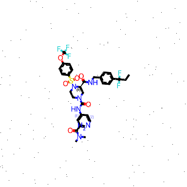 C=C(/C=C(\C=C/N)NC(=O)N1CCN(S(=O)(=O)c2ccc(OC(F)(F)F)cc2)[C@@H](C(=O)NCc2ccc(C(F)(F)CC)cc2)C1)C(=O)N(C)C